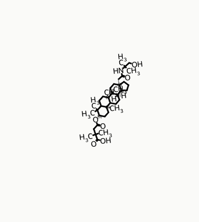 CC(C)(CO)NC(=O)C[C@]12CCC[C@@H]1[C@H]1CCC3[C@@]4(C)CC[C@H](OC(=O)CC(C)(C)C(=O)O)C(C)(C)C4CC[C@@]3(C)[C@]1(C)CC2